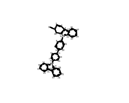 CC1C=Cc2c(n(-c3ccc(-c4ccc(-n5c6ccccc6c6ccccc65)cc4)cc3)c3ccccc23)C1